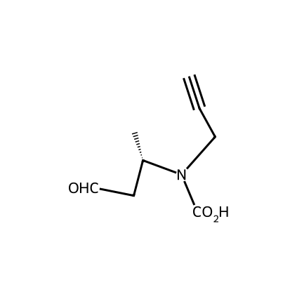 C#CCN(C(=O)O)[C@@H](C)CC=O